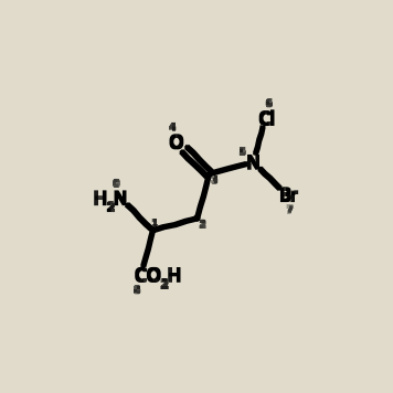 NC(CC(=O)N(Cl)Br)C(=O)O